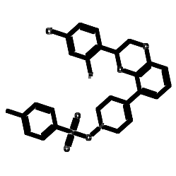 Cc1ccc(S(=O)(=O)ON2CC=C(c3cccc4c3OC(c3ccc(Cl)cc3F)CO4)CC2)cc1